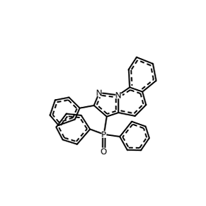 O=P(c1ccccc1)(c1ccccc1)c1c(-c2ccccc2)nn2c1ccc1ccccc12